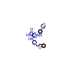 c1ccc2c(c1)CC(CN1CCC(Nc3nc(Nc4ccc(N5CCOCC5)cc4)nc4c3NCN4)CC1)O2